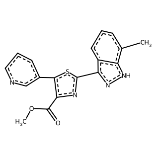 COC(=O)c1nc(-c2n[nH]c3c(C)cccc23)sc1-c1cccnc1